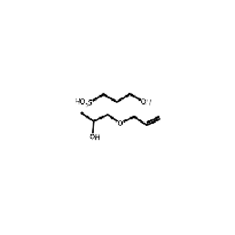 C=CCOCC(C)O.O=S(=O)(O)CCCO